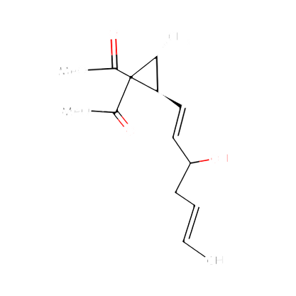 C/C=C/CC(O)/C=C/[C@@H]1[C@@H](C)C1(C(=O)OC)C(=O)OC